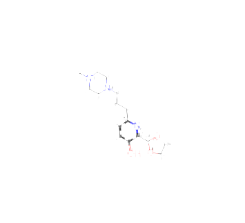 CN1CCN(CCCc2ccc(O)c(C3OCCO3)n2)CC1